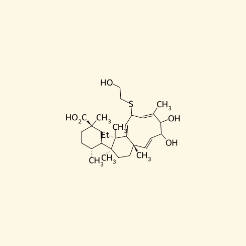 CC[C@]1(C)/C2=C/C(SCCO)/C=C(\C)C(O)C(O)/C=C/[C@]2(C)CC[C@@]1(C)[C@@H]1C[C@](C)(C(=O)O)CC[C@H]1C